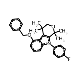 CC1(C)COC(C)(C)c2c1c1c(OCc3ccccc3)cccc1n2-c1ccc(F)cc1